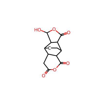 O=C1CC2C3CCC(C2C(=O)O1)C1C(=O)OC(O)C31